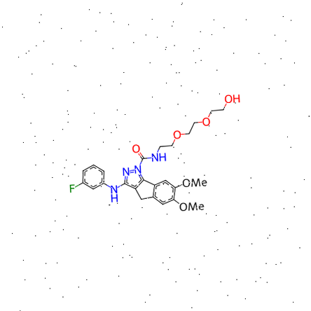 COc1cc2c(cc1OC)-c1c(c(Nc3cccc(F)c3)nn1C(=O)NCCOCCOCCO)C2